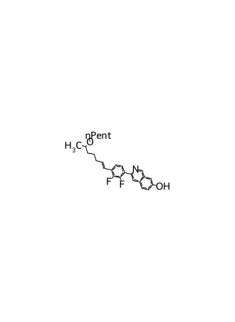 CCCCCOC(C)CCCC=Cc1ccc(-c2cc3ccc(O)cc3cn2)c(F)c1F